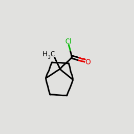 CC1(C(=O)Cl)C2CCC1CC2